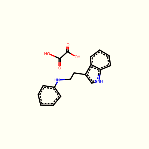 O=C(O)C(=O)O.c1ccc(NCCc2c[nH]c3ccccc23)cc1